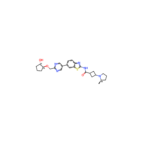 C[C@@H]1CCCN1C1CC(C(=O)Nc2nc3ccc(-c4cnc(CO[C@H]5CCC[C@@H]5O)nc4)cc3s2)C1